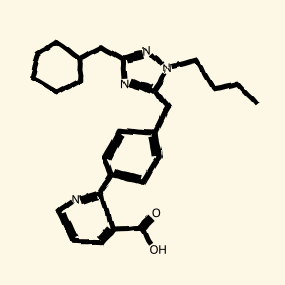 CCCCn1nc(CC2CCCCC2)nc1Cc1ccc(-c2ncccc2C(=O)O)cc1